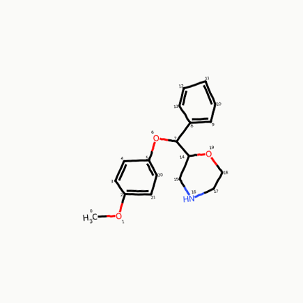 COc1ccc(OC(c2ccccc2)C2CNCCO2)cc1